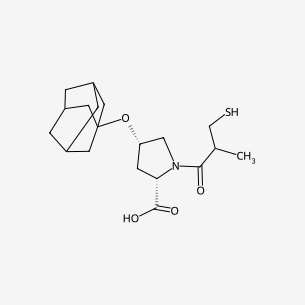 CC(CS)C(=O)N1C[C@@H](OC23CC4CC(CC(C4)C2)C3)C[C@H]1C(=O)O